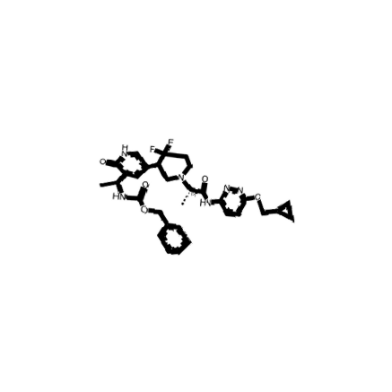 CC(NC(=O)OCc1ccccc1)c1cc(C2CN([C@@H](C)C(=O)Nc3ccc(OCC4CC4)nn3)CCC2(F)F)c[nH]c1=O